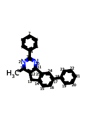 Cc1nc(-c2ccccc2)nc2c1Cc1ccc(-c3ccccc3)cc1-2